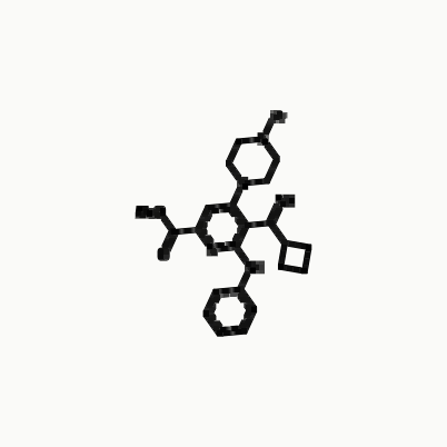 COC(=O)c1cc(N2CCN(C(C)C)CC2)c(C(=N)C2CCC2)c(Nc2ccccc2)n1